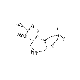 O=C(O)NC1CNCCN(CC(F)(F)F)C1=O